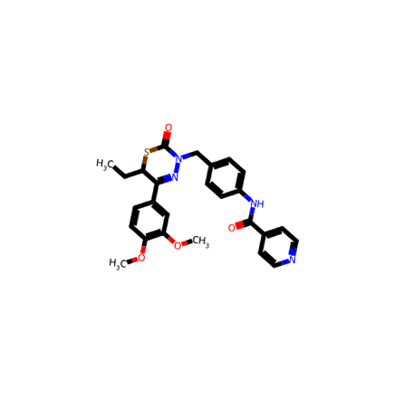 CCC1SC(=O)N(Cc2ccc(NC(=O)c3ccncc3)cc2)N=C1c1ccc(OC)c(OC)c1